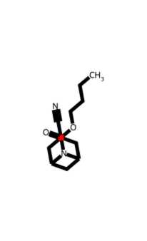 CCCCOC(=O)N1C2CC(C#N)CC1C2